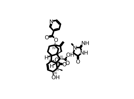 C=C1C[C@]23C[C@@]1(OC(=O)c1cccnc1)CC[C@H]2[C@@]12C=C[C@H](O)[C@@](C)(C(=O)O1)[C@H]2[C@@H]3C(=O)O.CN1CC(=O)NC1=N